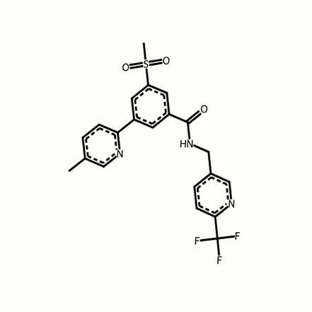 Cc1ccc(-c2cc(C(=O)NCc3ccc(C(F)(F)F)nc3)cc(S(C)(=O)=O)c2)nc1